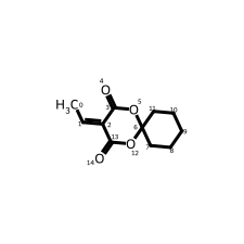 CC=C1C(=O)OC2(CCCCC2)OC1=O